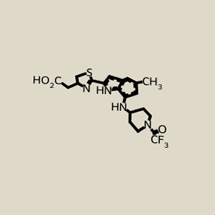 Cc1cc(NC2CCN(C(=O)C(F)(F)F)CC2)c2[nH]c(C3=NC(CC(=O)O)CS3)cc2c1